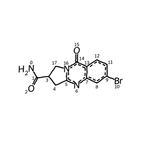 NC(=O)C1Cc2nc3cc(Br)ccc3c(=O)n2C1